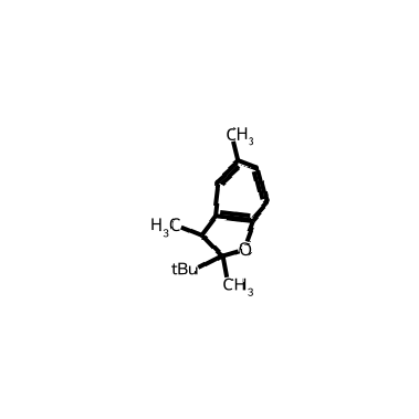 Cc1ccc2c(c1)C(C)C(C)(C(C)(C)C)O2